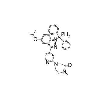 CC(C)Oc1ccc2c(c1)c(-c1ccnc(N3CCN(C)C(=O)C3)c1)nn2C(P)(c1ccccc1)c1ccccc1